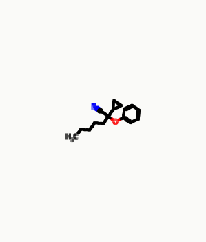 CCCCCC(C#N)(Oc1ccccc1)C1CC1